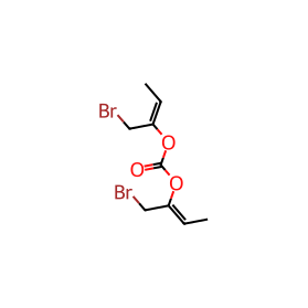 CC=C(CBr)OC(=O)OC(=CC)CBr